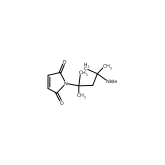 CNC(C)(C)CC(C)(C)N1C(=O)C=CC1=O